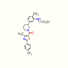 CCOC(=O)CNc1cc(C2CCCN(C(=O)c3sc(-c4ccc(C(F)(F)F)cc4)nc3C)C2)ccc1C